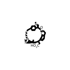 Cc1c2ccc3c1nnn3CCCCc1ccc3c(cn(C)c3c1)C(=O)N1CCc3ccc(cc3C1)C2CC(=O)O